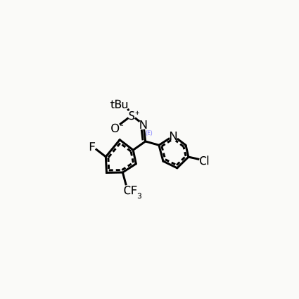 CC(C)(C)[S+]([O-])/N=C(\c1cc(F)cc(C(F)(F)F)c1)c1ccc(Cl)cn1